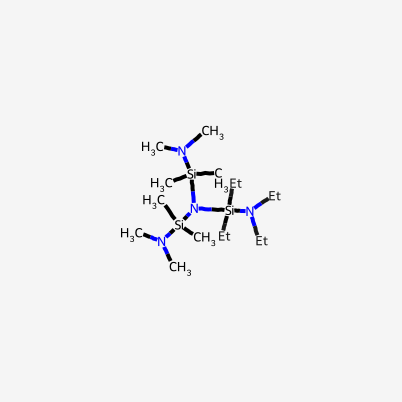 CCN(CC)[Si](CC)(CC)N([Si](C)(C)N(C)C)[Si](C)(C)N(C)C